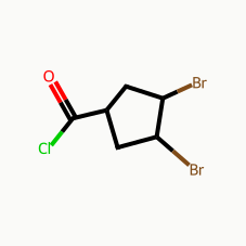 O=C(Cl)C1CC(Br)C(Br)C1